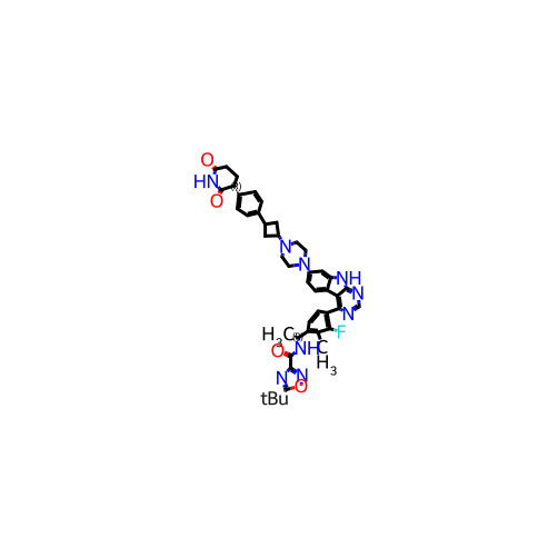 Cc1c([C@@H](C)NC(=O)c2noc(C(C)(C)C)n2)ccc(-c2ncnc3[nH]c4cc(N5CCN(C6CC(c7ccc([C@H]8CCC(=O)NC8=O)cc7)C6)CC5)ccc4c23)c1F